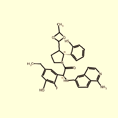 CCc1cc(O)c(F)c([C@H](Nc2ccc3c(N)nccc3c2)C(=O)N2CCC(C3OC(C)O3)[C@@H]2c2ccccc2S)c1